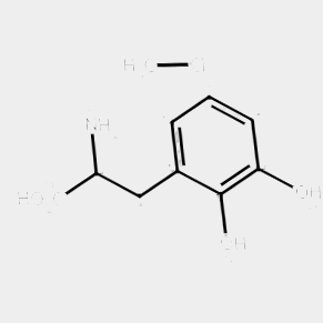 CCl.NC(Cc1cccc(O)c1O)C(=O)O